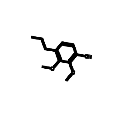 CCCc1ccc(O)c(OC)c1OC